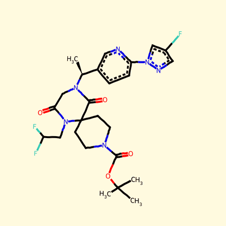 C[C@@H](c1ccc(-n2cc(F)cn2)nc1)N1CC(=O)N(CC(F)F)C2(CCN(C(=O)OC(C)(C)C)CC2)C1=O